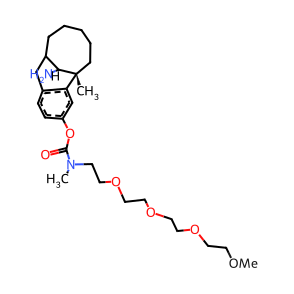 COCCOCCOCCOCCN(C)C(=O)Oc1ccc2c(c1)[C@@]1(C)CCCCCC(C2)[C@@H]1N